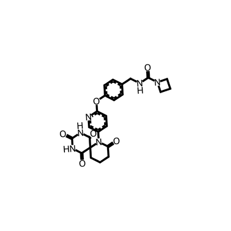 O=C1NC(=O)C2(CCCC(=O)N2c2ccc(Oc3ccc(CNC(=O)N4CCC4)cc3)nc2)C(=O)N1